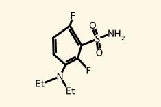 CCN(CC)c1ccc(F)c(S(N)(=O)=O)c1F